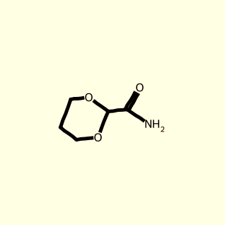 NC(=O)C1OCCCO1